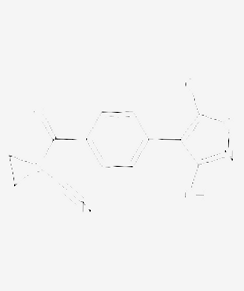 Cc1noc(C)c1-c1ccc(C(=O)S2(C#N)CC2)cc1